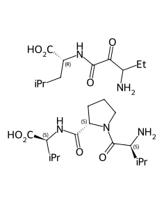 CC(C)[C@H](N)C(=O)N1CCC[C@H]1C(=O)N[C@H](C(=O)O)C(C)C.CCC(N)C(=O)C(=O)N[C@H](CC(C)C)C(=O)O